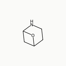 C1CC2CC(N1)O2